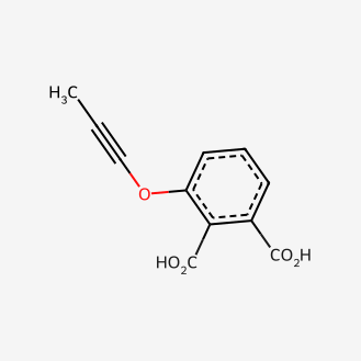 CC#COc1cccc(C(=O)O)c1C(=O)O